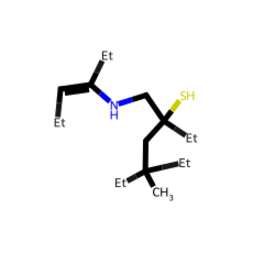 CCC=C(CC)NCC(S)(CC)CC(C)(CC)CC